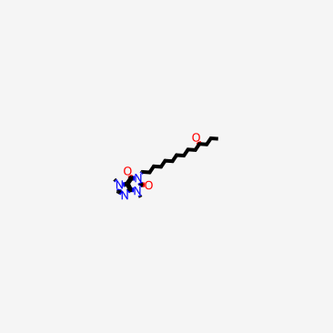 CCCC(=O)CCCCCCCCCCn1c(=O)c2c(ncn2C)n(C)c1=O